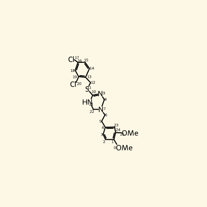 COc1ccc(CCN2CN=C(SCc3ccc(Cl)cc3Cl)NC2)cc1OC